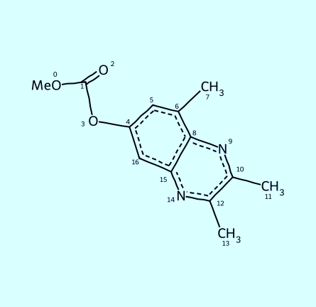 COC(=O)Oc1cc(C)c2nc(C)c(C)nc2c1